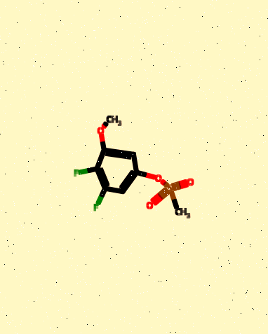 COc1cc(OS(C)(=O)=O)cc(F)c1F